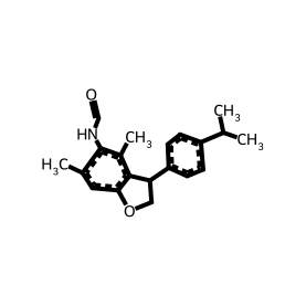 Cc1cc2c(c(C)c1NC=O)C(c1ccc(C(C)C)cc1)CO2